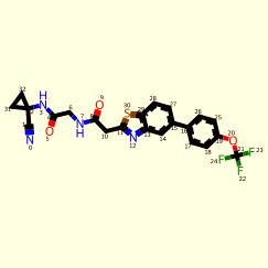 N#CC1(NC(=O)CNC(=O)Cc2nc3cc(-c4ccc(OC(F)(F)F)cc4)ccc3s2)CC1